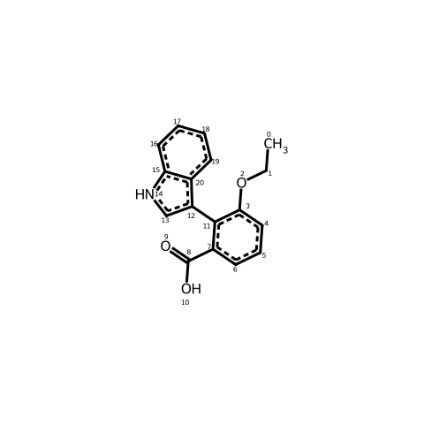 CCOc1cccc(C(=O)O)c1-c1c[nH]c2ccccc12